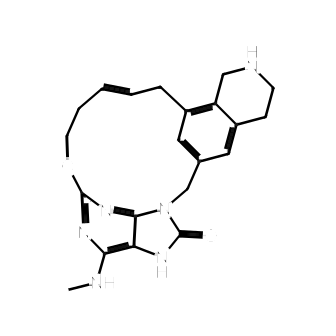 CNc1nc2nc3c1[nH]c(=O)n3Cc1cc(c3c(c1)CCNC3)C/C=C/CCO2